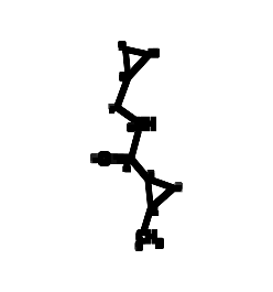 CC1CC1C(=O)NCC1CC1